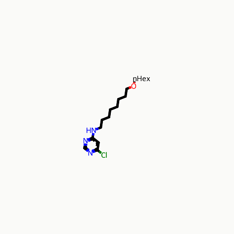 CCCCCCOCCCCCCCCNc1cc(Cl)ncn1